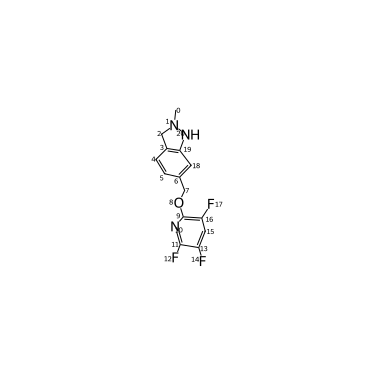 CN1Cc2ccc(COc3nc(F)c(F)cc3F)cc2N1